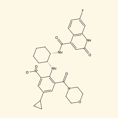 O=C(N[C@H]1CCCC[C@H]1Nc1c(C(=O)N2CCOCC2)cc(C2CC2)cc1[N+](=O)[O-])c1cc(=O)[nH]c2cc(F)ccc12